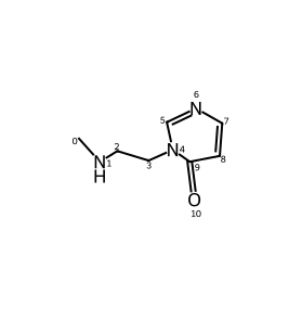 CNCCn1cnccc1=O